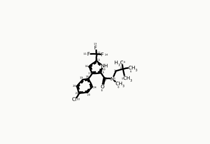 CN(CC(C)(C)C)C(=O)c1[nH]c(C(F)(F)F)cc1-c1ccc(Cl)cc1